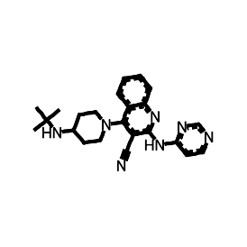 CC(C)(C)NC1CCN(c2c(C#N)c(Nc3ccncn3)nc3ccccc23)CC1